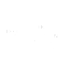 Cl.O=C(O)c1ccc(OCc2ccccn2)cc1